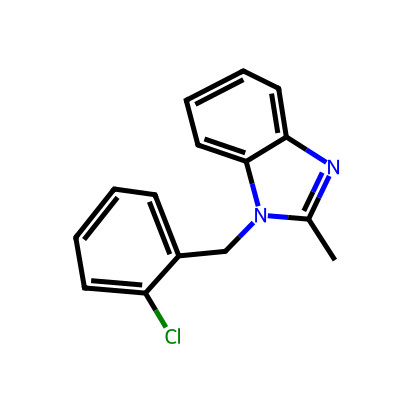 Cc1nc2ccccc2n1Cc1ccccc1Cl